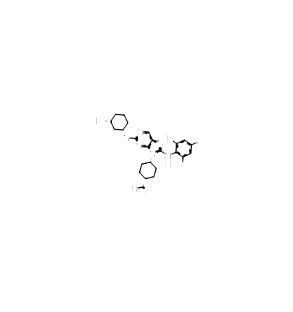 NC(=O)[C@H]1CC[C@@H](n2c(Nc3c(F)cc(F)cc3F)nc3cnc(N[C@H]4CCC[C@H](O)C4)nc32)CC1